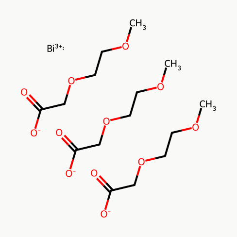 COCCOCC(=O)[O-].COCCOCC(=O)[O-].COCCOCC(=O)[O-].[Bi+3]